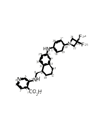 O=C(O)c1ccncc1NC[C@@H]1CCCc2cc(NC3=CCC(N4CC(F)(F)C4)C=C3)ccc21